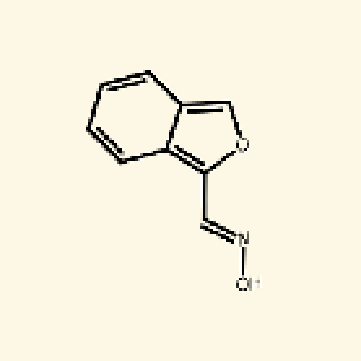 ON=Cc1occ2ccccc12